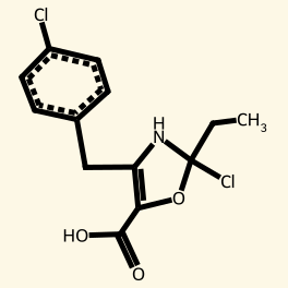 CCC1(Cl)NC(Cc2ccc(Cl)cc2)=C(C(=O)O)O1